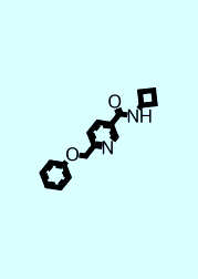 O=C(NC1CCC1)c1ccc(COc2ccccc2)nc1